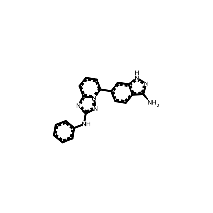 Nc1n[nH]c2cc(-c3cccc4nc(Nc5ccccc5)nn34)ccc12